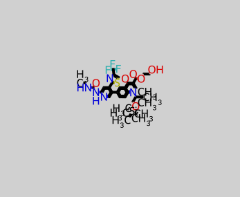 CCNC(=O)Nc1cc(-c2nc(C(F)(F)F)cs2)c(-c2ccc3c(c2)c(=O)c(C(=O)OCCO)cn3C(CO[Si](C)(C)C(C)(C)C)C(C)(C)C)cn1